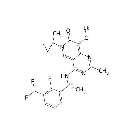 CCOc1c(=O)n(C2(C)CC2)cc2c(N[C@H](C)c3cccc(C(F)F)c3F)nc(C)nc12